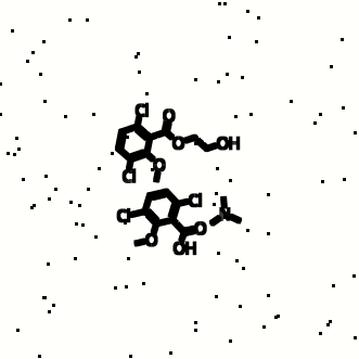 CN(C)C.COc1c(Cl)ccc(Cl)c1C(=O)O.COc1c(Cl)ccc(Cl)c1C(=O)OCCO